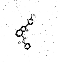 Cc1nc(-c2cc3cccc(N[S+]([O-])c4cccs4)c3[nH]2)cs1